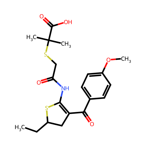 CCC1CC(C(=O)c2ccc(OC)cc2)=C(NC(=O)CSC(C)(C)C(=O)O)S1